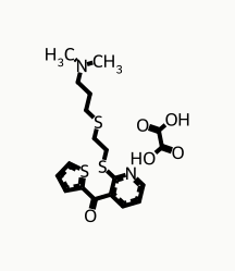 CN(C)CCCSCCSc1ncccc1C(=O)c1cccs1.O=C(O)C(=O)O